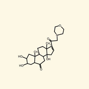 CC12CC(O)C(O)CC1C(=O)CC1C2CCC2(C)C(C(=O)CN3CCOCC3)=CCC12O